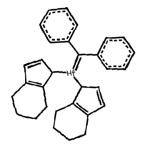 C1=C[CH]([Hf](=[C](c2ccccc2)c2ccccc2)[CH]2C=CC3=C2CCCC3)C2=C1CCCC2